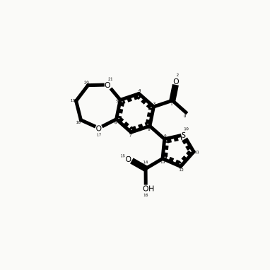 CC(=O)c1cc2c(cc1-c1sccc1C(=O)O)OCCCO2